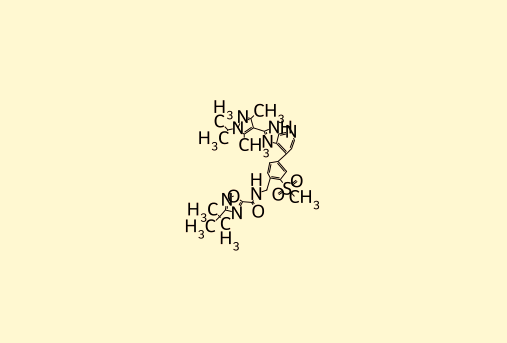 Cc1nn(C(C)C)c(C)c1-c1nc2c(-c3ccc(CNC(=O)c4nc(C(C)(C)C)no4)c(S(C)(=O)=O)c3)ccnc2[nH]1